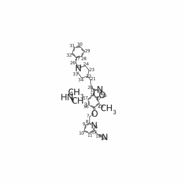 CNC.Cc1c(OCc2cccc(C#N)n2)ccc2c(CCC3CCN(Cc4ccccc4)CC3)noc12